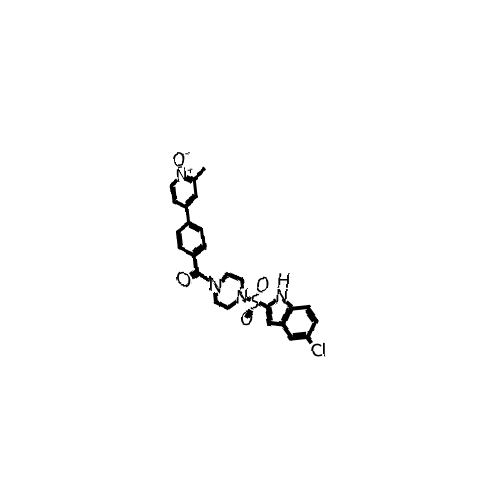 Cc1cc(-c2ccc(C(=O)N3CCN(S(=O)(=O)c4cc5cc(Cl)ccc5[nH]4)CC3)cc2)cc[n+]1[O-]